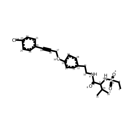 CCS(=O)(=O)NC(C(=O)NCCc1ccc(OCC#Cc2ccc(Cl)cc2)cc1)C(C)C